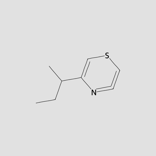 CCC(C)C1=CSC=C=N1